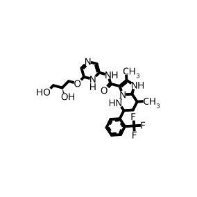 CC1=C(C(=O)NC2=CN=CC(OC[C@H](O)CO)N2)N2NC(c3ccccc3C(F)(F)F)CC(C)C2N1